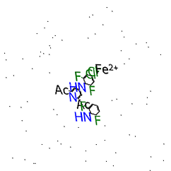 CC(=O)c1cccc(C(C)=O)n1.N=C1C(F)=CC=CC1F.N=C1C(F)=CC=CC1F.[Cl-].[Cl-].[Fe+2]